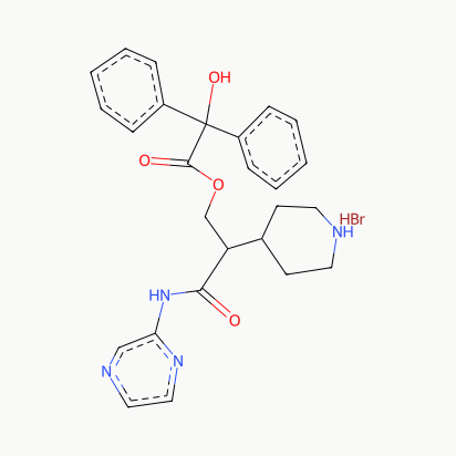 Br.O=C(Nc1cnccn1)C(COC(=O)C(O)(c1ccccc1)c1ccccc1)C1CCNCC1